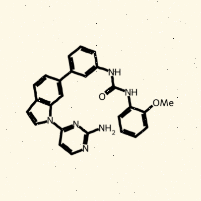 COc1ccccc1NC(=O)Nc1cccc(-c2ccc3ccn(-c4ccnc(N)n4)c3c2)c1